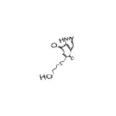 O=C1C(SCCCCO)=CC(=O)c2[nH]ncc21